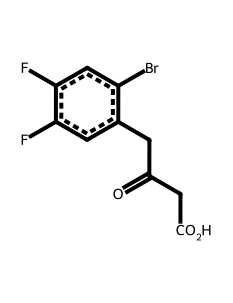 O=C(O)CC(=O)Cc1cc(F)c(F)cc1Br